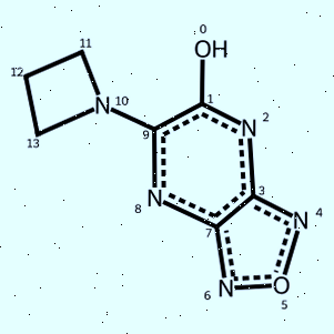 Oc1nc2nonc2nc1N1CCC1